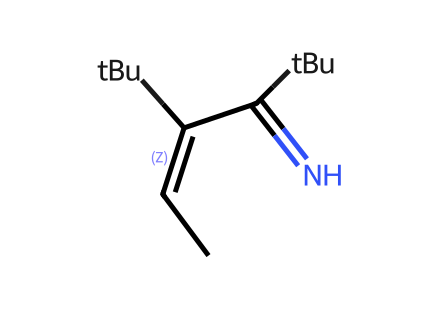 C/C=C(\C(=N)C(C)(C)C)C(C)(C)C